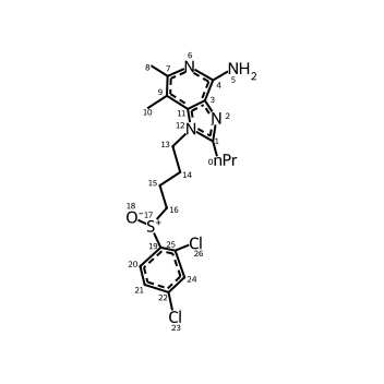 CCCc1nc2c(N)nc(C)c(C)c2n1CCCC[S+]([O-])c1ccc(Cl)cc1Cl